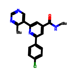 CC(C)(C)NC(=O)c1cc(-c2ccc(Cl)cc2)nc(-c2cncnc2C(C)(C)C)c1